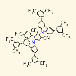 N#Cc1cc(-n2c3ccc(-c4cc(C(F)(F)F)cc(C(F)(F)F)c4)cc3c3cc(-c4cc(C(F)(F)F)cc(C(F)(F)F)c4)ccc32)c(-c2ccc(C(F)(F)F)cc2C(F)(F)F)cc1-n1c2ccc(-c3cc(C(F)(F)F)cc(C(F)(F)F)c3)cc2c2cc(-c3cc(C(F)(F)F)cc(C(F)(F)F)c3)ccc21